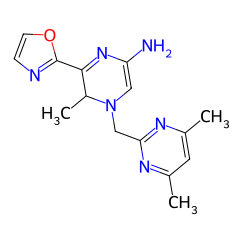 Cc1cc(C)nc(CN2C=C(N)N=C(c3ncco3)C2C)n1